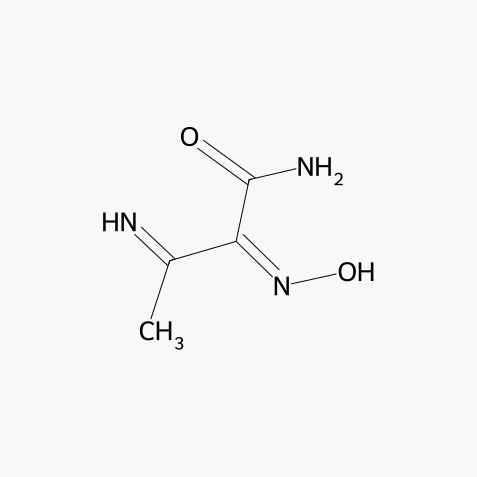 CC(=N)C(=NO)C(N)=O